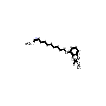 CCCCCCCC/C=C\CCCCCCCCOc1cccc2c1OC(C)(OCC)O2